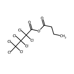 CCCC(=O)OC(=O)C(Cl)(Cl)C(Cl)(Cl)C(Cl)(Cl)Cl